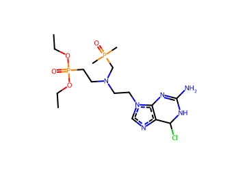 CCOP(=O)(CCN(CCn1cnc2c1N=C(N)NC2Cl)CP(C)(C)=O)OCC